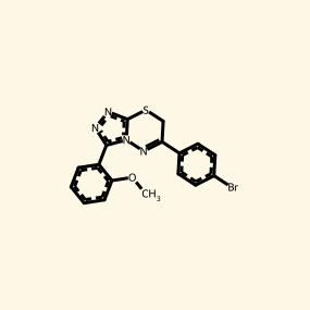 COc1ccccc1-c1nnc2n1N=C(c1ccc(Br)cc1)CS2